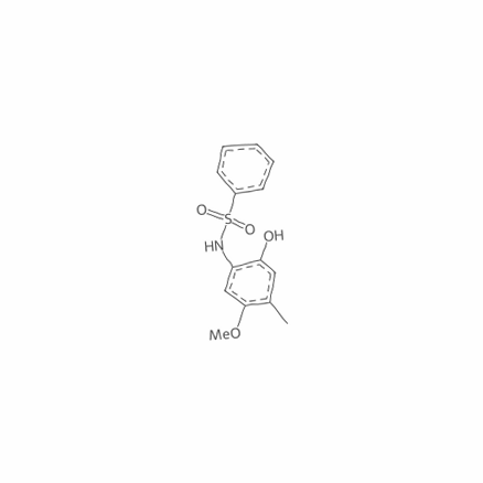 COc1cc(NS(=O)(=O)c2ccccc2)c(O)cc1C